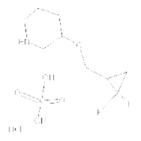 Cl.FC1(F)CC1COC1CCCNC1.O=S(=O)(O)O